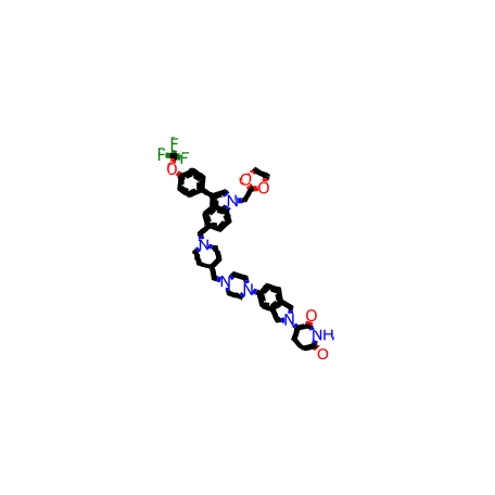 O=C1CCC(N2Cc3ccc(N4CCN(CC5CCN(Cc6ccc7c(c6)c(-c6ccc(OC(F)(F)F)cc6)cn7CC6OCCO6)CC5)CC4)cc3C2)C(=O)N1